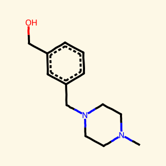 CN1CCN(Cc2cccc(CO)c2)CC1